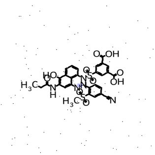 CCC(=O)Nc1cc(/N=N/c2ccc(C#N)cc2S(C)(=O)=O)c2c(NS(=O)(=O)c3cc(C(=O)O)cc(C(=O)O)c3)cccc2c1O